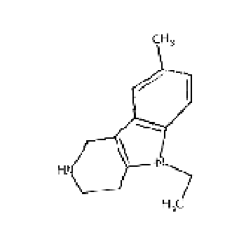 CCn1c2c(c3cc(C)ccc31)CNCC2